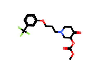 COC(=O)OC1CN(CCCOc2cccc(C(F)(F)F)c2)CCC1=O